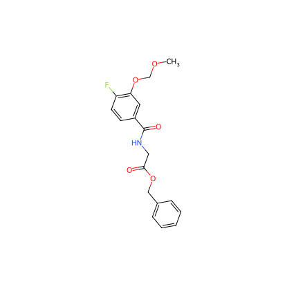 COCOc1cc(C(=O)NCC(=O)OCc2ccccc2)ccc1F